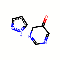 O=C1C=NC=NC1.c1cn[nH]c1